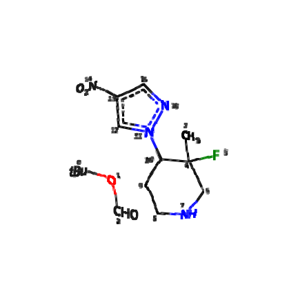 CC(C)(C)OC=O.CC1(F)CNCCC1n1cc([N+](=O)[O-])cn1